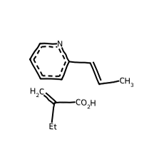 C=C(CC)C(=O)O.CC=Cc1ccccn1